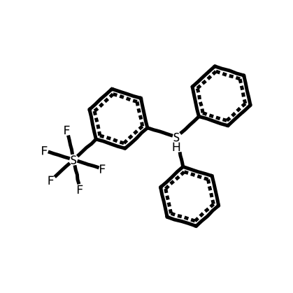 FS(F)(F)(F)(F)c1cccc([SH](c2ccccc2)c2ccccc2)c1